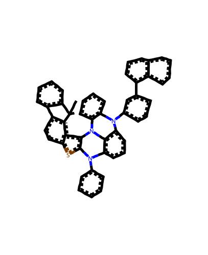 CC1(C)c2ccccc2-c2ccc3sc4c(c3c21)N1c2ccccc2N(c2cccc(-c3cccc5ccccc35)c2)c2cccc(c21)N4c1ccccc1